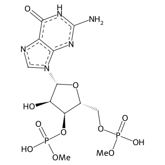 COP(=O)(O)OC[C@H]1O[C@@H](n2cnc3c(=O)[nH]c(N)nc32)[C@H](O)[C@@H]1OP(=O)(O)OC